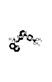 CC(C)N1CCN(c2nccc3nc(CN(C)[C@H]4CCCc5cccnc54)cn23)CC1